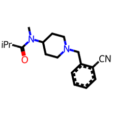 CC(C)C(=O)N(C)C1CCN(Cc2ccccc2C#N)CC1